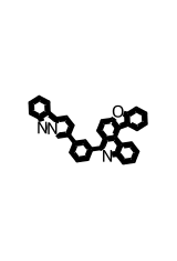 c1cc(-c2ccc3c4ccccc4nn3c2)cc(-c2nc3ccccc3c3c2ccc2oc4ccccc4c23)c1